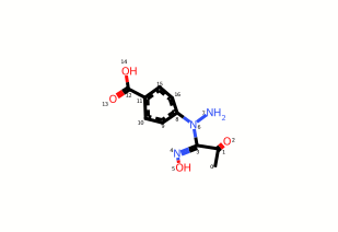 CC(=O)C(=NO)N(N)c1ccc(C(=O)O)cc1